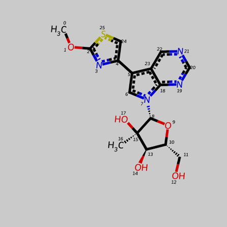 COc1nc(-c2cn([C@@H]3O[C@H](CO)[C@@H](O)[C@@]3(C)O)c3ncncc23)cs1